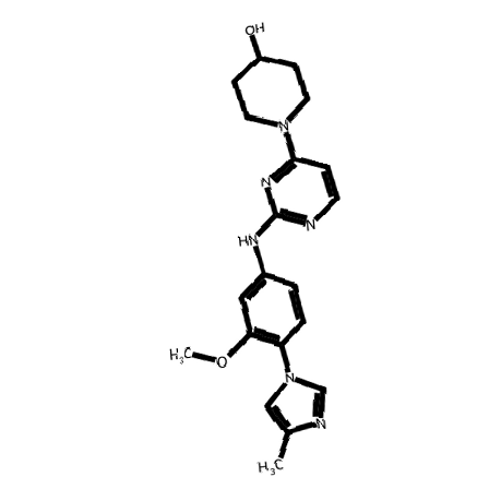 COc1cc(Nc2nccc(N3CCC(O)CC3)n2)ccc1-n1cnc(C)c1